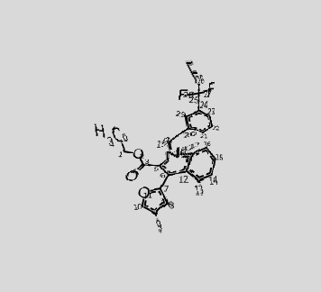 CCOC(=O)c1c(-c2ccco2)c2ccccc2n1Cc1cccc(C(F)(F)F)c1